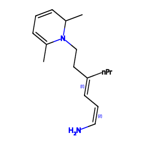 CCC/C(=C\C=C/N)CCN1C(C)=CC=CC1C